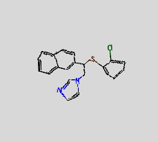 Clc1ccccc1SC(Cn1ccnc1)c1ccc2ccccc2c1